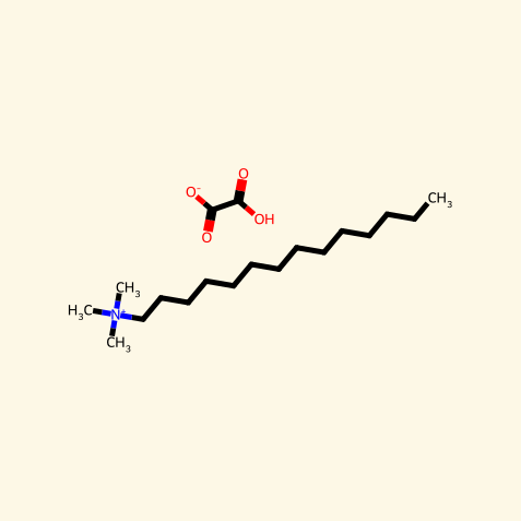 CCCCCCCCCCCCCC[N+](C)(C)C.O=C([O-])C(=O)O